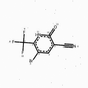 N#Cc1cc(Br)c(C(F)(F)F)[nH]c1=O